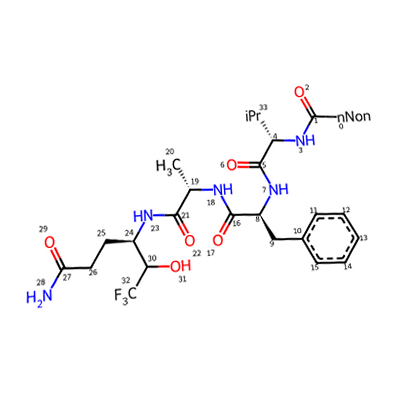 CCCCCCCCCC(=O)N[C@H](C(=O)N[C@@H](Cc1ccccc1)C(=O)N[C@@H](C)C(=O)N[C@H](CCC(N)=O)C(O)C(F)(F)F)C(C)C